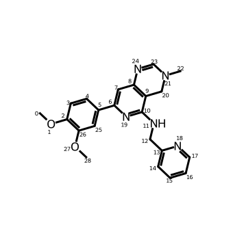 COc1ccc(-c2cc3c(c(NCc4ccccn4)n2)CN(C)C=N3)cc1OC